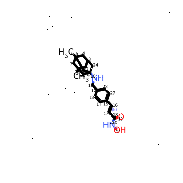 CC12CC3CC(C)(C1)CC(NCc1ccc(/C=C/C(=O)NO)cc1)(C3)C2